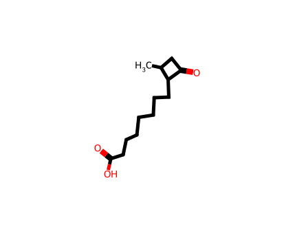 CC1CC(=O)C1CCCCCCCC(=O)O